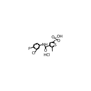 Cc1sc(S(=O)(=O)O)cc1C(=O)Nc1ccc(F)c(Cl)c1.Cl